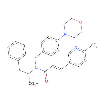 O=C(O)[C@H](Cc1ccccc1)N(Cc1ccc(N2CCOCC2)cc1)C(=O)C=Cc1ccc(C(F)(F)F)nc1